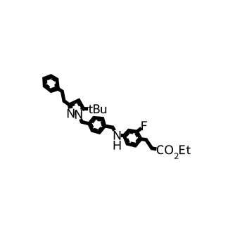 CCOC(=O)CCc1ccc(NCc2ccc(Cn3nc(CCc4ccccc4)cc3C(C)(C)C)cc2)cc1F